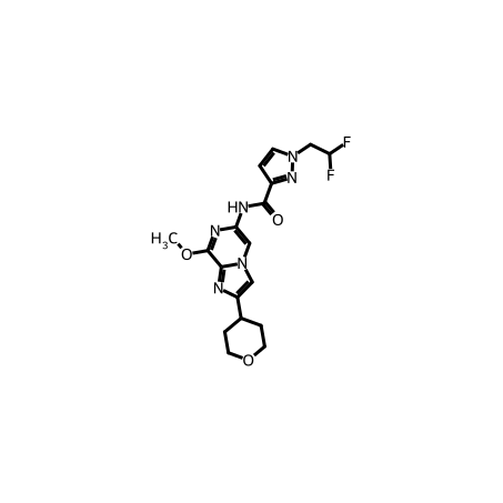 COc1nc(NC(=O)c2ccn(CC(F)F)n2)cn2cc(C3CCOCC3)nc12